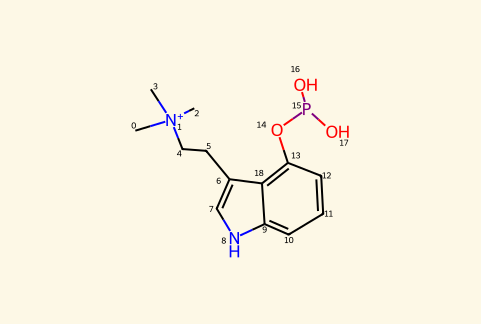 C[N+](C)(C)CCc1c[nH]c2cccc(OP(O)O)c12